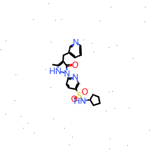 Cc1[nH]n(-c2ccc(S(=O)(=O)NC3CCCC3)cn2)c(=O)c1Cc1cccnc1